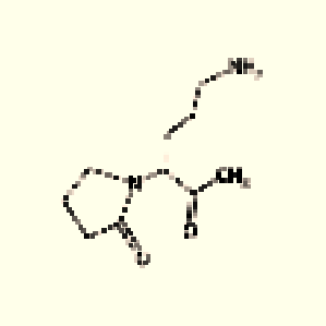 CC(=O)[C@@H](CCCN)N1CCCC1=O